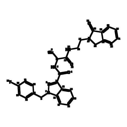 CC(C)(C)C(NC(=O)c1nn(Cc2ccc(F)cc2)c2ccccc12)C(=O)NCCN1Cc2ncccc2C1=O